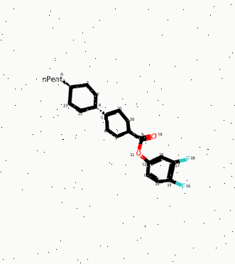 CCCCC[C@H]1CC[C@H](C2CCC(C(=O)Oc3ccc(F)c(F)c3)CC2)CC1